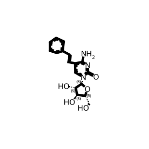 Nc1nc(=O)n([C@@H]2O[C@H](CO)[C@@H](O)[C@@H]2O)cc1C=Cc1ccccc1